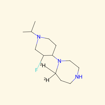 [2H]C1([2H])CCNCCN1C1CCN(C(C)C)CC1F